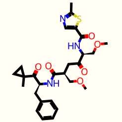 COC[C@H](CC(=O)[C@H](COC)NC(=O)c1cnc(C)s1)C(=O)N[C@@H](Cc1ccccc1)C(=O)C1(C)CC1